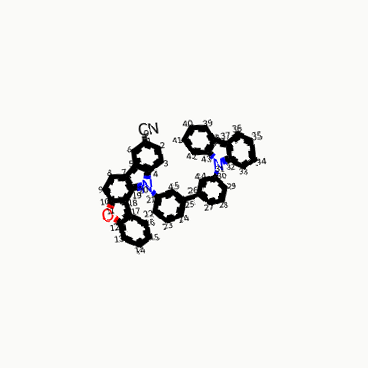 N#Cc1ccc2c(c1)c1ccc3oc4ccccc4c3c1n2-c1cccc(-c2cccc(-n3c4ccccc4c4ccccc43)c2)c1